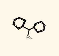 O=[N+]([O-])C(c1cc[c]cc1)c1ccccc1